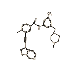 Cc1ccc(C(=O)Nc2cc(CN3CCN(C)CC3)cc(C(F)(F)F)c2)cc1C#Cc1cnc2cnccn12